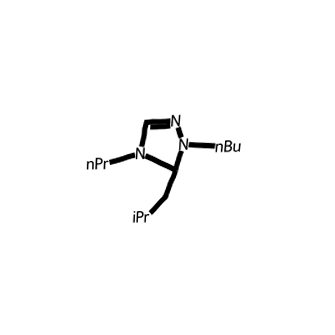 CCCCN1N=CN(CCC)C1CC(C)C